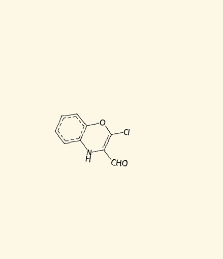 O=CC1=C(Cl)Oc2ccccc2N1